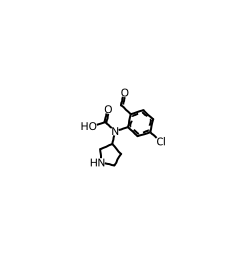 O=Cc1ccc(Cl)cc1N(C(=O)O)C1CCNC1